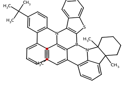 Cc1cc2c3c(c1)N(c1ccc(C(C)(C)C)cc1-c1ccccc1)c1c(sc4ccccc14)B3N1c3c-2cccc3C2(C)CCCCC12C